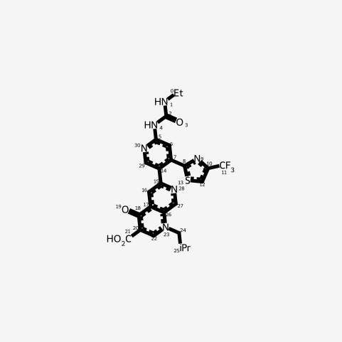 CCNC(=O)Nc1cc(-c2nc(C(F)(F)F)cs2)c(-c2cc3c(=O)c(C(=O)O)cn(CC(C)C)c3cn2)cn1